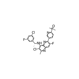 Cc1nc2cc(F)c(-c3ccc(P(C)(C)=O)nc3)nc2c(N[C@H](C)c2cc(F)cc(Cl)c2)c1Cl